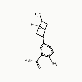 CNC(=O)c1cc(N2C[C@@H]3C2CN3C)ccc1N